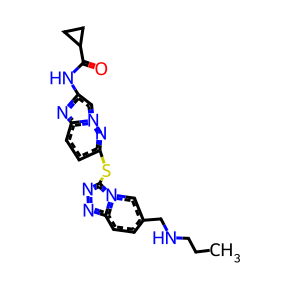 CCCNCc1ccc2nnc(Sc3ccc4nc(NC(=O)C5CC5)cn4n3)n2c1